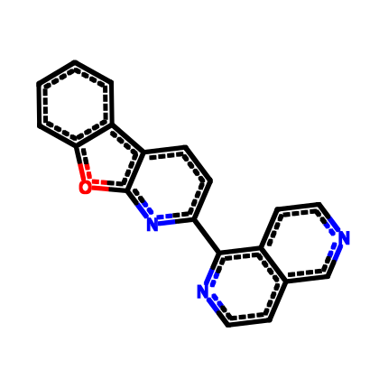 c1ccc2c(c1)oc1nc(-c3nccc4cnccc34)ccc12